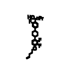 C=CCCCOc1ccc(C2CCC(c3ccc(C(O)CCC)c(F)c3)CC2)c(F)c1F